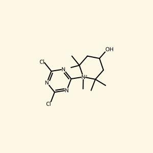 CC1(C)CC(O)CC(C)(C)[N+]1(C)c1nc(Cl)nc(Cl)n1